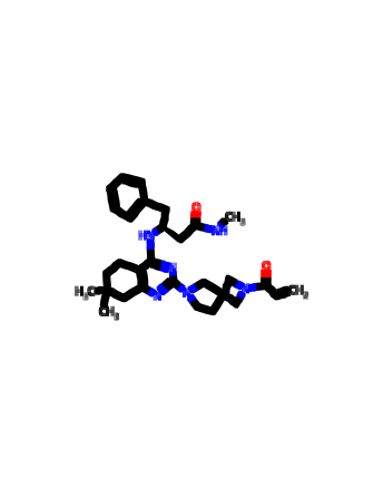 C=CC(=O)N1CC2(CCN(c3nc4c(c(N[C@H](CC(=O)NC)Cc5ccccc5)n3)CCC(C)(C)C4)C2)C1